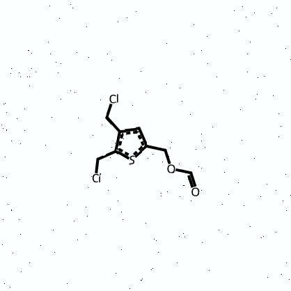 O=COCc1cc(CCl)c(CCl)s1